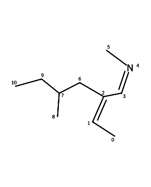 C/C=C(\C=N/C)CC(C)CC